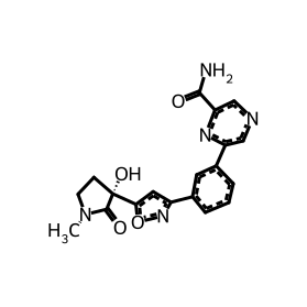 CN1CC[C@@](O)(c2cc(-c3cccc(-c4cncc(C(N)=O)n4)c3)no2)C1=O